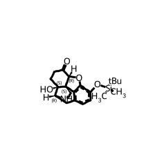 CC(C)(C)[Si](C)(C)Oc1ccc2c3c1O[C@H]1C(=O)CC[C@@]4(O)[C@@H](C2)NCC[C@]314